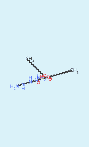 CCCCCCCCCCCCCCCC(=O)OC[C@H](CSC[C@H](N)C(=O)NCCCNCCCCNCCCN)OC(=O)CCCCCCCCCCCCCCC